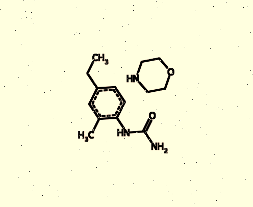 C1COCCN1.CCc1ccc(NC(N)=O)c(C)c1